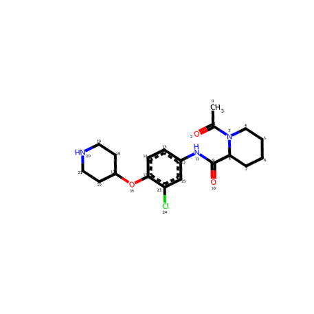 CC(=O)N1CCCCC1C(=O)Nc1ccc(OC2CCNCC2)c(Cl)c1